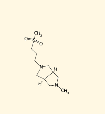 CN1C[C@@H]2CN(CCCS(C)(=O)=O)C[C@@H]2C1